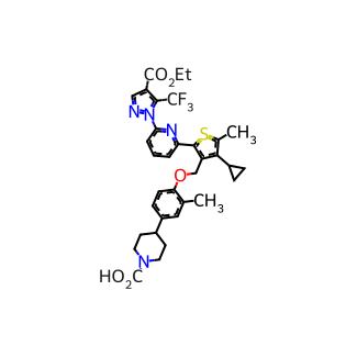 CCOC(=O)c1cnn(-c2cccc(-c3sc(C)c(C4CC4)c3COc3ccc(C4CCN(C(=O)O)CC4)cc3C)n2)c1C(F)(F)F